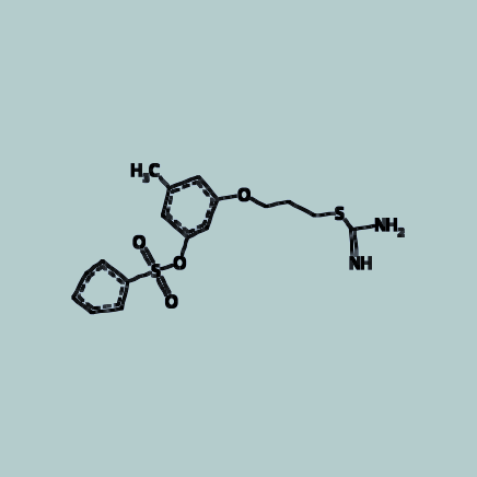 Cc1cc(OCCCSC(=N)N)cc(OS(=O)(=O)c2ccccc2)c1